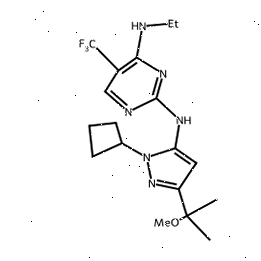 CCNc1nc(Nc2cc(C(C)(C)OC)nn2C2CCC2)ncc1C(F)(F)F